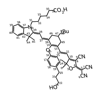 CC1(C)OC(=C(C#N)C#N)C(C#N)=C1/C=C/C1=C(Oc2ccc(CCCO)cc2)C(=C/C=C2/N(CCCCCC(=O)O)c3ccccc3C2(C)C)/CC(C(C)(C)C)C1